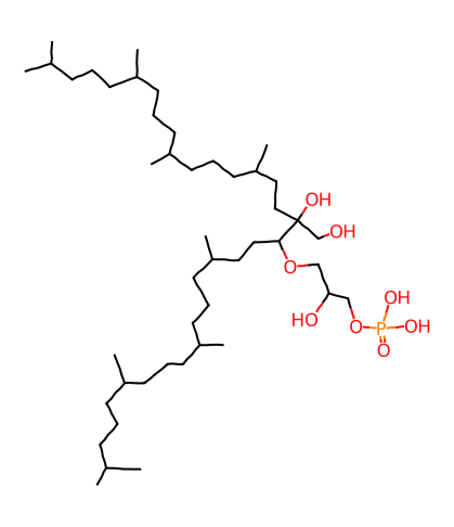 CC(C)CCCC(C)CCCC(C)CCCC(C)CCC(OCC(O)COP(=O)(O)O)C(O)(CO)CCC(C)CCCC(C)CCCC(C)CCCC(C)C